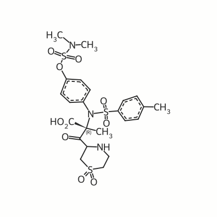 Cc1ccc(S(=O)(=O)N(c2ccc(OS(=O)(=O)N(C)C)cc2)[C@@](C)(C(=O)O)C(=O)C2CS(=O)(=O)CCN2)cc1